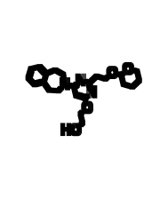 OCCOc1cc(N2CCc3ccccc3CC2)nc(CCOC2CCCCO2)n1